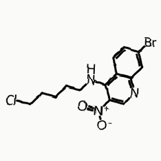 O=[N+]([O-])c1cnc2cc(Br)ccc2c1NCCCCCCl